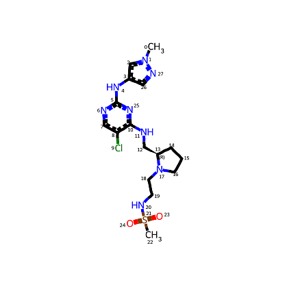 Cn1cc(Nc2ncc(Cl)c(NC[C@H]3CCCN3CCNS(C)(=O)=O)n2)cn1